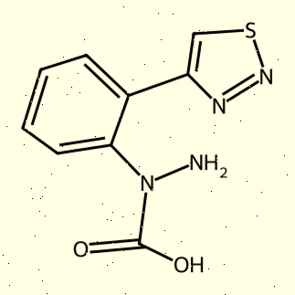 NN(C(=O)O)c1ccccc1-c1csnn1